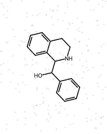 OC(c1ccccc1)C1NCCc2ccccc21